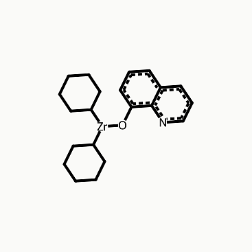 c1cnc2c([O][Zr]([CH]3CCCCC3)[CH]3CCCCC3)cccc2c1